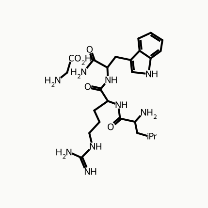 CC(C)CC(N)C(=O)NC(CCCNC(=N)N)C(=O)NC(Cc1c[nH]c2ccccc12)C(N)=O.NCC(=O)O